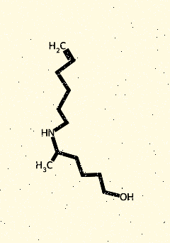 C=CCCCCNC(C)CCCCO